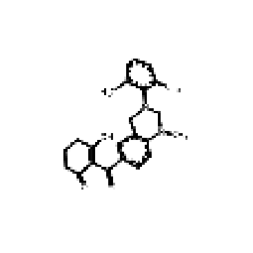 Cc1cccc(C)c1N1Cc2cc(C(=O)C3=C(O)CCCC3=O)ccc2N(C)C1